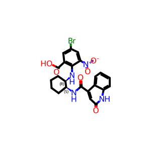 O=C(O)c1cc(Br)cc([N+](=O)[O-])c1N[C@@H]1CCCC[C@@H]1NC(=O)c1cc(=O)[nH]c2ccccc12